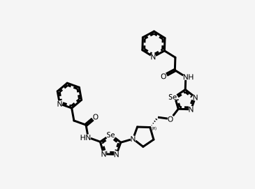 O=C(Cc1ccccn1)Nc1nnc(OC[C@@H]2CCN(c3nnc(NC(=O)Cc4ccccn4)[se]3)C2)[se]1